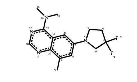 Cc1cc(N2CCC(F)(F)C2)cc2c(N(C)C)ncnc12